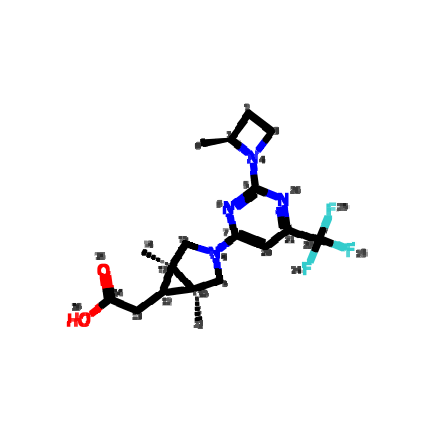 C[C@H]1CCN1c1nc(N2C[C@@]3(C)C(CC(=O)O)[C@@]3(C)C2)cc(C(F)(F)F)n1